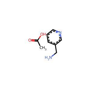 CC(=O)O.NCc1cccnc1